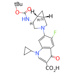 CC(C)(C)OC(=O)N[C@H]1CN(c2cc3c(cc2F)c(=O)c(C(=O)O)cn3C2CC2)C[C@H]2C[C@H]21